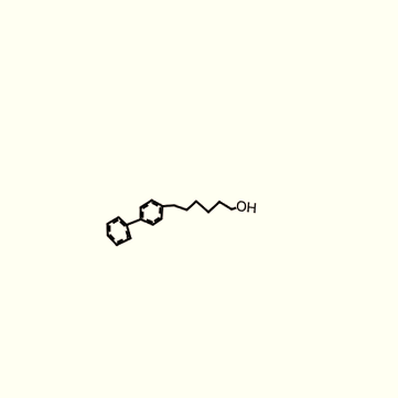 OCCCCCCc1ccc(-c2ccccc2)cc1